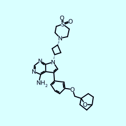 Nc1ncnc2c1c(-c1cccc(OCC34CCC(CC3)O4)c1)cn2[C@H]1C[C@@H](N2CCS(=O)(=O)CC2)C1